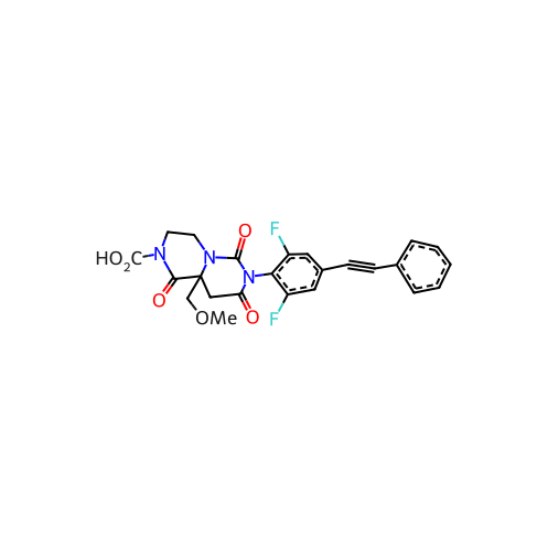 COCC12CC(=O)N(c3c(F)cc(C#Cc4ccccc4)cc3F)C(=O)N1CCN(C(=O)O)C2=O